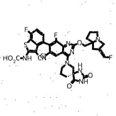 N#Cc1c(NC(=O)O)sc2c(F)ccc(-c3c(Cl)cc4c(N5CCC[C@]6(C5)NC(=O)NC6=O)nc(OCC56CCCN5C/C(=C\F)C6)nc4c3F)c12